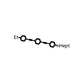 CCCCCCCc1ccc(C#Cc2ccc(C#Cc3ccc(CC)cc3)cc2)cc1